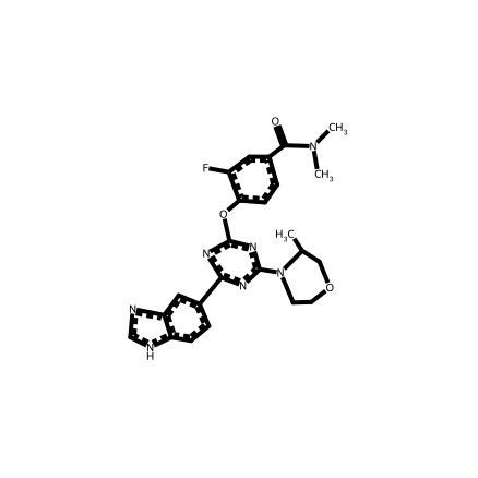 CC1COCCN1c1nc(Oc2ccc(C(=O)N(C)C)cc2F)nc(-c2ccc3[nH]cnc3c2)n1